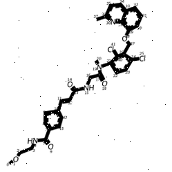 COCCNC(=O)c1ccc(C=CC(=O)NCC(=O)N(C)c2ccc(Cl)c(COc3cccc4ccc(C)nc34)c2Cl)cc1